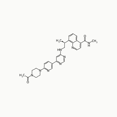 CNC(=O)c1ccnc2c([C@H](C)CNc3cc(-c4ccc(N5CCN(C(C)=O)CC5)nc4)ncn3)cccc12